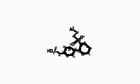 CC(=O)SCS(=O)(=O)c1ccccc1-c1ccc(CC(=O)O)cc1